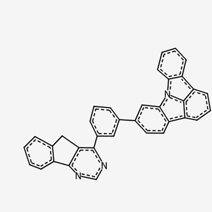 c1cc(-c2ccc3c4cccc5c6ccccc6n(c3c2)c54)cc(-c2ncnc3c2Cc2ccccc2-3)c1